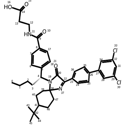 CCCC[C@H](c1ccc(C(=O)NCCC(=O)O)cc1)N1C(=O)C(c2ccc(-c3cc(Cl)cc(Cl)c3)cc2)=NC12CCC(C(C)(C)C)CC2